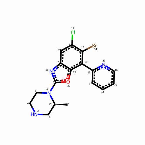 C[C@H]1CNCCN1c1nc2cc(Cl)c(Br)c(-c3ccccn3)c2o1